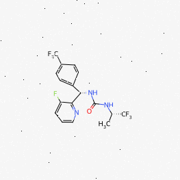 C[C@H](NC(=O)N[C@@H](c1ccc(C(F)(F)F)cc1)c1ncccc1F)C(F)(F)F